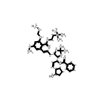 COCOc1cc(OC)cc(/C=C/C[C@@H]2OC(C)(C)O[C@@H]2C(/C=C\[C@@H]2CCC[C@H]2O)OC(=O)c2ccccc2)c1C(=O)OCC[Si](C)(C)C